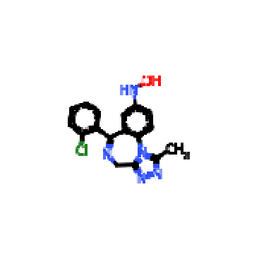 Cc1nnc2n1-c1ccc(NO)cc1C(c1ccccc1Cl)=NC2